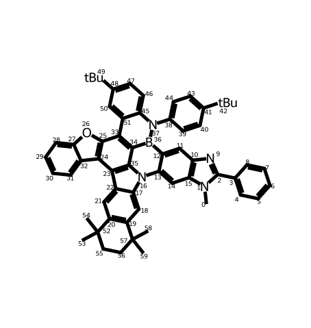 Cn1c(-c2ccccc2)nc2cc3c(cc21)-n1c2cc4c(cc2c2c5c(oc6ccccc65)c5c(c21)B3N(c1ccc(C(C)(C)C)cc1)c1ccc(C(C)(C)C)cc1-5)C(C)(C)CCC4(C)C